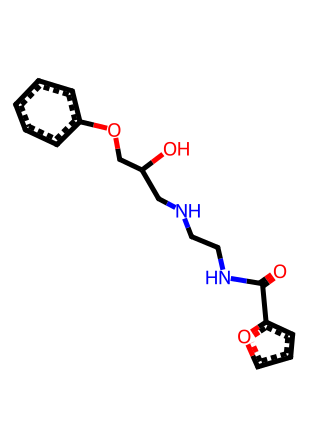 O=C(NCCNCC(O)COc1ccccc1)c1ccco1